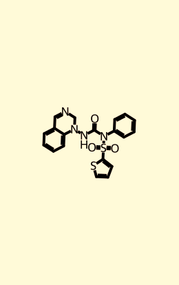 O=C(NN1CN=Cc2ccccc21)N(c1ccccc1)S(=O)(=O)c1cccs1